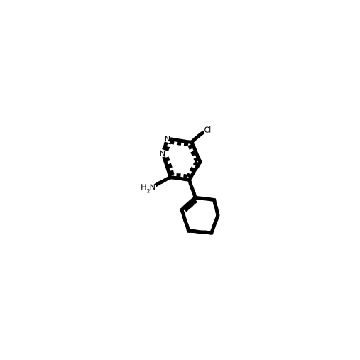 Nc1nnc(Cl)cc1C1=CCCCC1